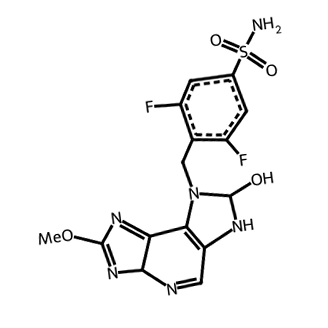 COC1=NC2N=CC3=C(C2=N1)N(Cc1c(F)cc(S(N)(=O)=O)cc1F)C(O)N3